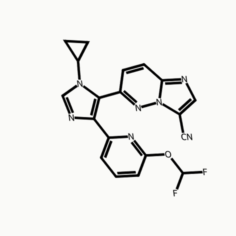 N#Cc1cnc2ccc(-c3c(-c4cccc(OC(F)F)n4)ncn3C3CC3)nn12